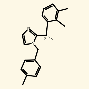 Cc1ccc(Cn2ccnc2[C@@H](C)c2cccc(C)c2C)cc1